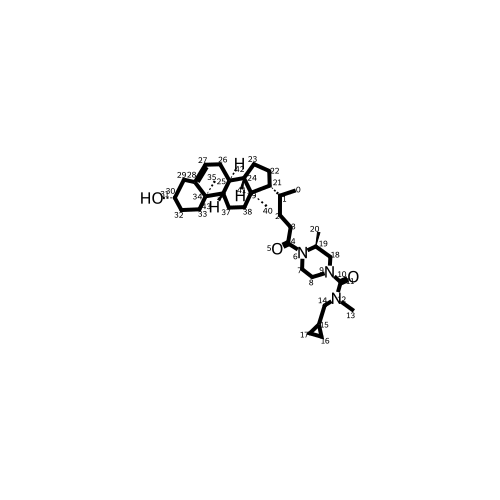 CC(CCC(=O)N1CCN(C(=O)N(C)CC2CC2)C[C@@H]1C)[C@H]1CC[C@H]2[C@@H]3CC=C4C[C@@H](O)CC[C@]4(C)[C@H]3CC[C@]12C